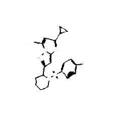 Cc1cc(C2CC2)nc2cc(C3CCCCN3S(=O)(=O)c3ccc(Br)cc3)nn12